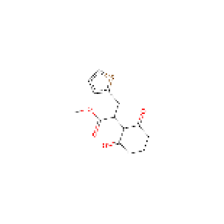 COC(=O)C(Cc1cccs1)C1C(=O)CCCC1=O